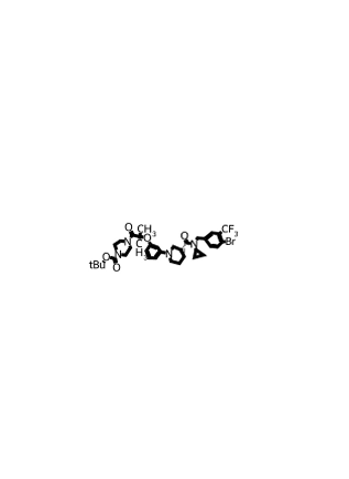 CC(C)(C)OC(=O)N1CCN(C(=O)C(C)(C)Oc2cccc(N3CCC[C@@H](C(=O)N(Cc4ccc(Br)c(C(F)(F)F)c4)C4CC4)C3)c2)CC1